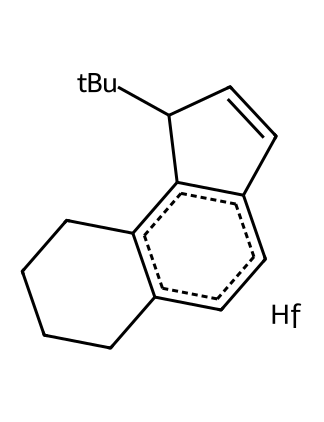 CC(C)(C)C1C=Cc2ccc3c(c21)CCCC3.[Hf]